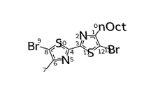 CCCCCCCCc1nc(-c2nc(C)c(Br)s2)sc1Br